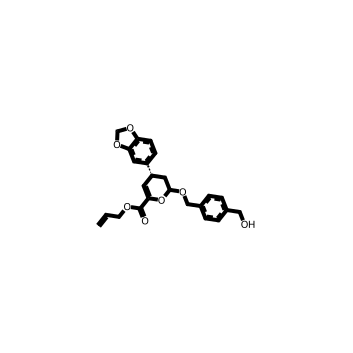 C=CCOC(=O)C1=C[C@H](c2ccc3c(c2)OCO3)CC(OCc2ccc(CO)cc2)O1